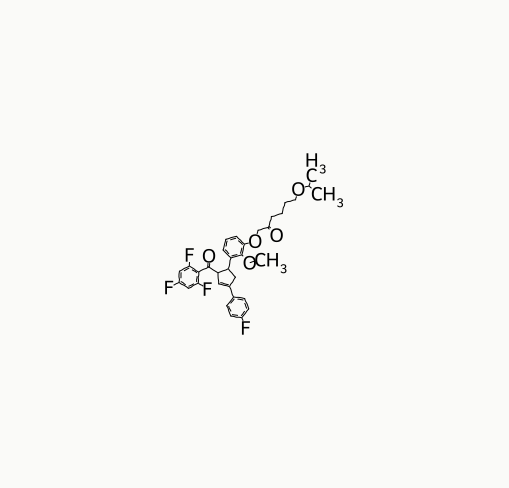 COc1c(OCC(=O)CCCCOC(C)C)cccc1C1CC(c2ccc(F)cc2)=CC1C(=O)c1c(F)cc(F)cc1F